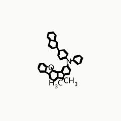 CC1(C)c2ccc(N(c3ccccc3)c3ccc(-c4ccc5ccccc5c4)cc3)cc2-c2c1ccc1c2oc2ccccc21